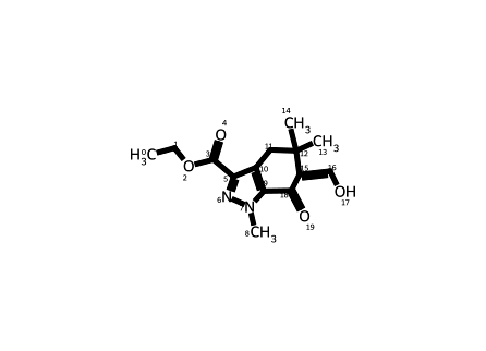 CCOC(=O)c1nn(C)c2c1CC(C)(C)/C(=C/O)C2=O